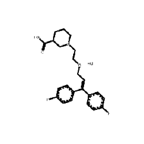 Cl.O=C(O)C1CCCN(CCOCC=C(c2ccc(F)cc2)c2ccc(F)cc2)C1